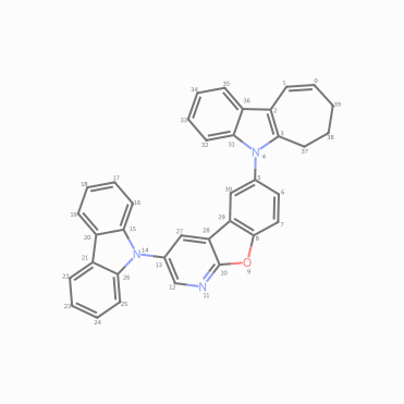 C1=Cc2c(n(-c3ccc4oc5ncc(-n6c7ccccc7c7ccccc76)cc5c4c3)c3ccccc23)CCC1